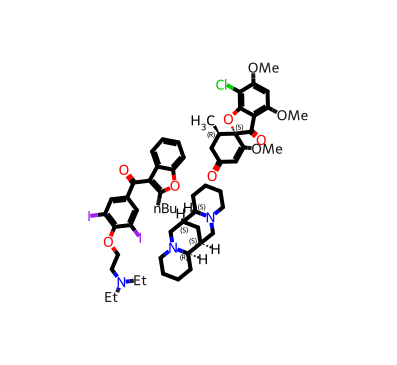 C1CCN2C[C@@H]3C[C@@H](CN4CCCC[C@@H]34)[C@H]2C1.CCCCc1oc2ccccc2c1C(=O)c1cc(I)c(OCCN(CC)CC)c(I)c1.COC1=CC(=O)C[C@@H](C)[C@]12Oc1c(Cl)c(OC)cc(OC)c1C2=O